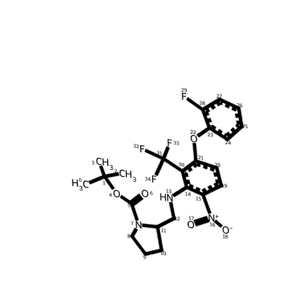 CC(C)(C)OC(=O)N1CCCC1CNc1c([N+](=O)[O-])ccc(Oc2ccccc2F)c1C(F)(F)F